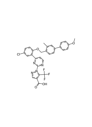 COc1ccc(-c2ccc(COc3ccc(Cl)cc3-c3ccnc(-n4ncc(C(=O)O)c4C(F)(F)F)n3)c(C)c2)cc1